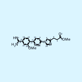 COC(=O)CCc1cn(-c2ccc(-c3ccc(C(=N)N)cc3OC)nn2)cn1